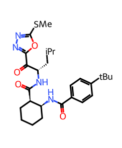 CSc1nnc(C(=O)[C@H](CC(C)C)NC(=O)[C@@H]2CCCC[C@@H]2NC(=O)c2ccc(C(C)(C)C)cc2)o1